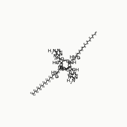 CCCCCCCCCCCCCCCC(=O)NCCNP1OCC2OC(n3cnc4c(N)ncnc43)C(O)C2OP(=O)(NCCNC(=O)CCCCCCCCCCCCCCC)OCC2(CC(O)C(n3cnc4c(N)ncnc43)O2)O1